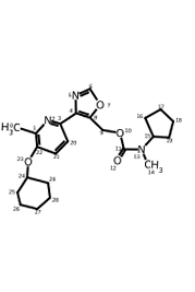 Cc1nc(-c2ncoc2COC(=O)N(C)C2CCCC2)ccc1OC1CCCCC1